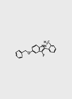 Cc1ccccc1-c1[nH]c2ccc(OCc3ccccc3)cc2c1F